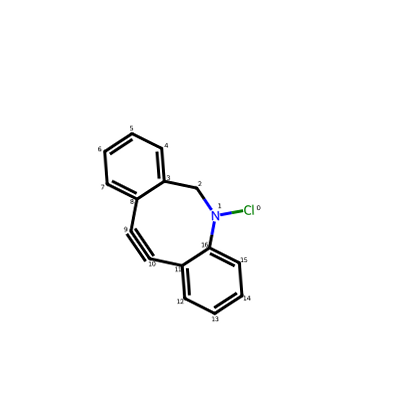 ClN1Cc2ccccc2C#Cc2ccccc21